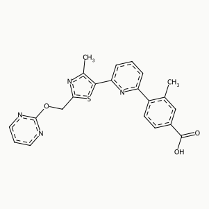 Cc1cc(C(=O)O)ccc1-c1cccc(-c2sc(COc3ncccn3)nc2C)n1